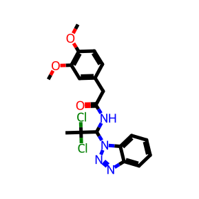 COc1ccc(CC(=O)NC(n2nnc3ccccc32)C(C)(Cl)Cl)cc1OC